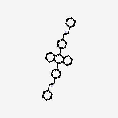 C(=C\c1ccccn1)/c1ccc(-c2c3ccccc3c(-c3ccc(/C=C/c4ccccn4)cc3)c3ccccc23)cc1